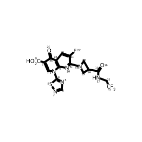 O=C(O)c1cn(-c2ncns2)c2nc(N3CC(C(=O)NCC(F)(F)F)C3)c(F)cc2c1=O